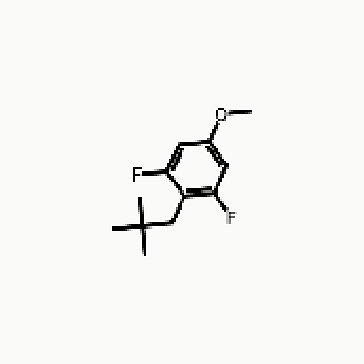 COc1cc(F)c(CC(C)(C)C)c(F)c1